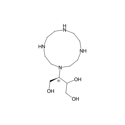 OCC(O)[C@@H](CO)N1CCNCCNCCNCC1